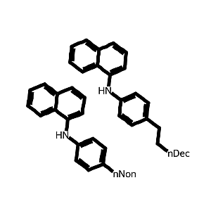 CCCCCCCCCCCCc1ccc(Nc2cccc3ccccc23)cc1.CCCCCCCCCc1ccc(Nc2cccc3ccccc23)cc1